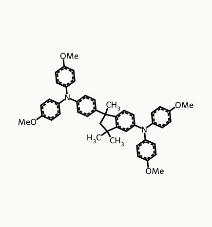 COc1ccc(N(c2ccc(OC)cc2)c2ccc(C3(C)CC(C)(C)c4cc(N(c5ccc(OC)cc5)c5ccc(OC)cc5)ccc43)cc2)cc1